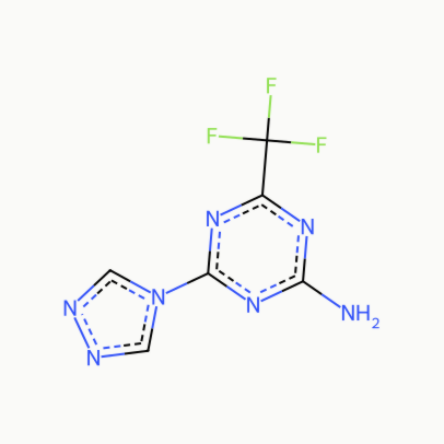 Nc1nc(-n2cnnc2)nc(C(F)(F)F)n1